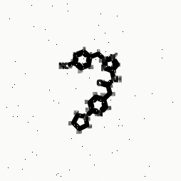 N#Cc1ccc(Cn2ncc(NC(=O)Cc3ccc(N4CCCC4)nc3)n2)cc1